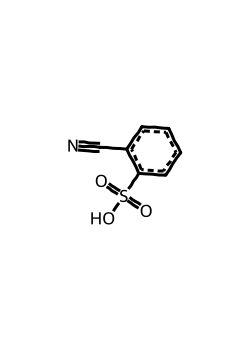 N#Cc1ccccc1S(=O)(=O)O